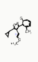 CO/C=C/c1c(-c2c(C)cccc2Cl)noc1C1CC1